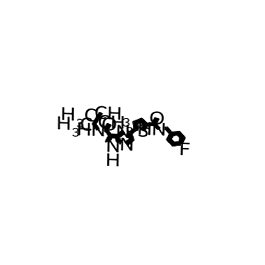 C[C@H](NC(=O)c1c[nH]c2ncc(-c3ccc(C(=O)NCc4ccc(F)cc4)s3)nc12)C(C)(C)C